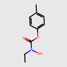 CCN(O)C(=O)Oc1ccc(C)cc1